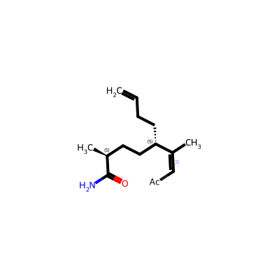 C=CCC[C@@H](CC[C@H](C)C(N)=O)/C(C)=C\C(C)=O